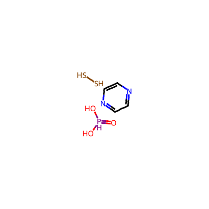 O=[PH](O)O.SS.c1cnccn1